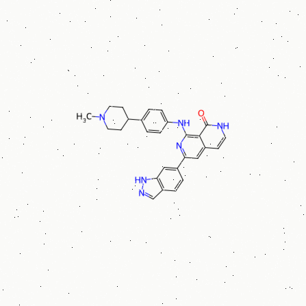 CN1CCC(c2ccc(Nc3nc(-c4ccc5cn[nH]c5c4)cc4cc[nH]c(=O)c34)cc2)CC1